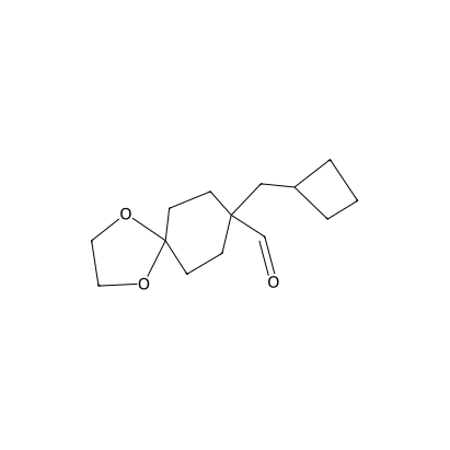 O=CC1(CC2CCC2)CCC2(CC1)OCCO2